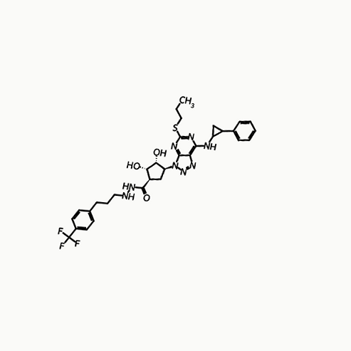 CCCSc1nc(NC2CC2c2ccccc2)c2nnn([C@H]3C[C@@H](C(=O)NNCCCc4ccc(C(F)(F)F)cc4)[C@H](O)[C@@H]3O)c2n1